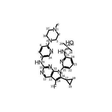 CN1CCN(c2ccc(Nc3ncc4c(F)c(C5CC5)n(-c5cccc(N[SH](C)(C)=O)n5)c4n3)cn2)CC1